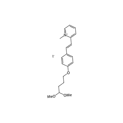 COC(CCCOc1ccc(/C=C/c2cccc[n+]2C)cc1)OC.[I-]